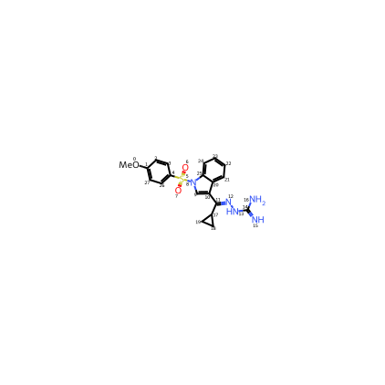 COc1ccc(S(=O)(=O)n2cc(C(=NNC(=N)N)C3CC3)c3ccccc32)cc1